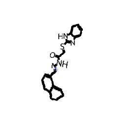 O=C(CSc1nc2ccccc2[nH]1)N/N=C/c1cccc2ccccc12